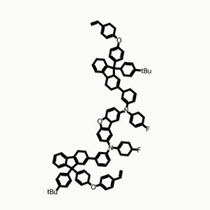 C=CC1=CC=C(Oc2ccc(C3(C4C=CC(C(C)(C)C)=CC4)C4=C(C=CCC4)C4CCC(C5C=C(N(C6=CC7c8cc(N(C9=CCC(F)CC9)c9cccc(C%10=CC%11=C(CC%10)c%10ccccc%10C%11(C%10=CCC(Oc%11ccc(C=C)cc%11)C=C%10)c%10ccc(C(C)(C)C)cc%10)c9)ccc8OC7C=C6)C6=CC=C(F)CC6)C=CC5)=CC43)cc2)CC1